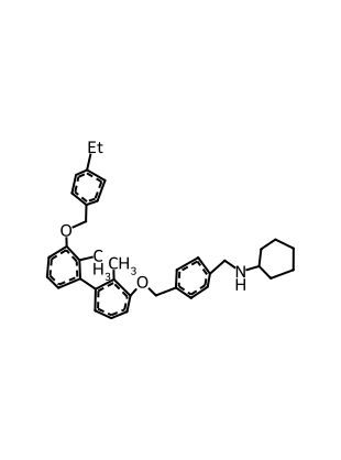 CCc1ccc(COc2cccc(-c3cccc(OCc4ccc(CNC5CCCCC5)cc4)c3C)c2C)cc1